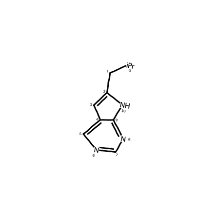 CC(C)Cc1cc2cncnc2[nH]1